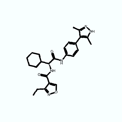 CCc1nocc1C(=O)N[C@H](C(=O)Nc1ccc(-c2c(C)n[nH]c2C)cc1)C1CCCCC1